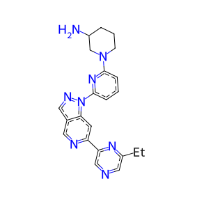 CCc1cncc(-c2cc3c(cn2)cnn3-c2cccc(N3CCCC(N)C3)n2)n1